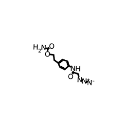 [N-]=[N+]=NCC(=O)Nc1ccc(CCOC(N)=O)cc1